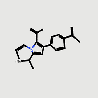 C=C(C)c1ccc(-c2cc(C(C)CCCC)n(/C=C\C)c2C(=C)C)cc1